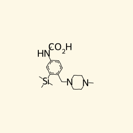 CN1CCN(Cc2ccc(NC(=O)O)cc2[Si](C)(C)C)CC1